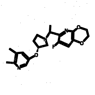 Cc1cc(O[C@@H]2CCN(C(C)c3nc4c(cc3F)OCCO4)C2)cnc1C